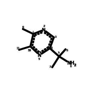 Cc1ncc(C(C)(C)N)nc1C